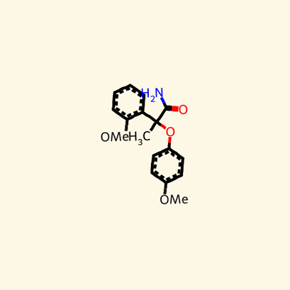 COc1ccc(OC(C)(C(N)=O)c2ccccc2OC)cc1